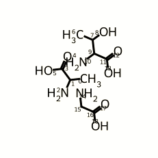 CC(N)C(=O)O.CC(O)C(N)C(=O)O.NCC(=O)O